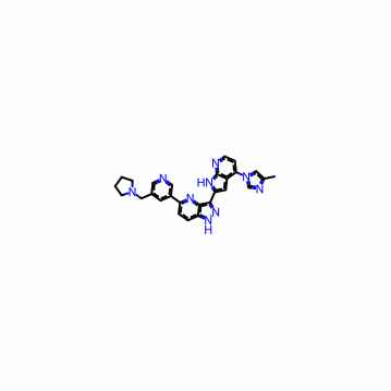 Cc1cn(-c2ccnc3[nH]c(-c4n[nH]c5ccc(-c6cncc(CN7CCCC7)c6)nc45)cc23)cn1